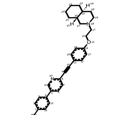 Clc1ccc(-c2ccc(C#Cc3ccc(OCCN4CC[C@@H]5CCCC[C@H]5C4)cc3)nc2)cc1